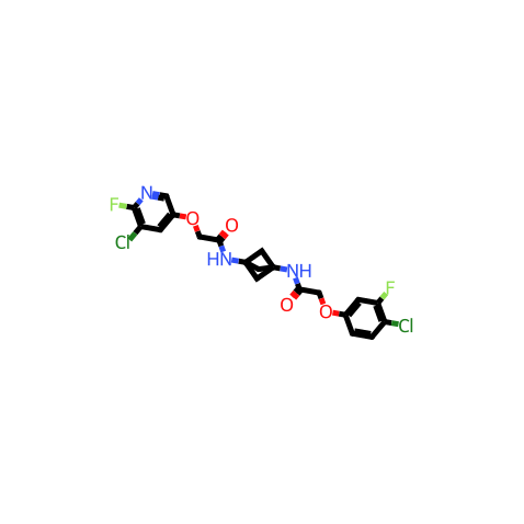 O=C(COc1ccc(Cl)c(F)c1)NC12CC(NC(=O)COc3cnc(F)c(Cl)c3)(C1)C2